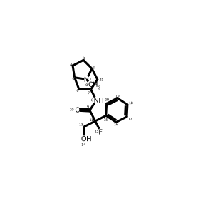 CN1C2CCC1CC(NC(=O)C(F)(CO)c1ccccc1)C2